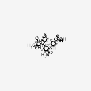 CC1(C)CC(=O)n2c(c(-c3ccc(C(N)=O)c(N[C@H]4CC[C@H](OP(=O)(O)O)CC4)c3)c3ccc(F)cc32)C1